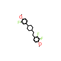 COc1ccc(C2CCC(CCc3ccc(OC)c(F)c3F)CC2)cc1F